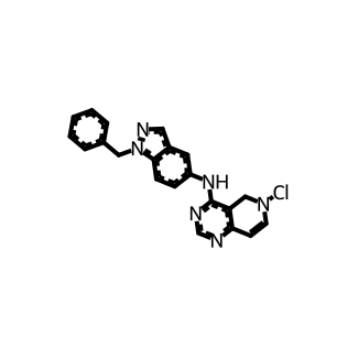 ClN1C=Cc2ncnc(Nc3ccc4c(cnn4Cc4ccccc4)c3)c2C1